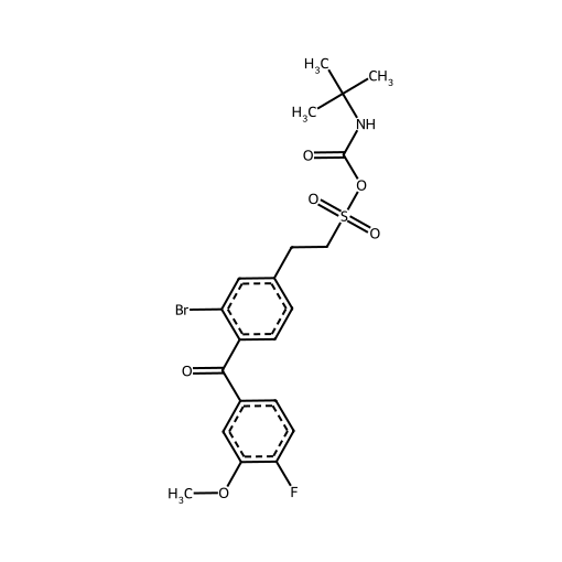 COc1cc(C(=O)c2ccc(CCS(=O)(=O)OC(=O)NC(C)(C)C)cc2Br)ccc1F